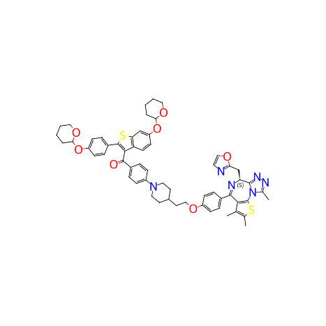 Cc1sc2c(c1C)C(c1ccc(OCCC3CCN(c4ccc(C(=O)c5c(-c6ccc(OC7CCCCO7)cc6)sc6cc(OC7CCCCO7)ccc56)cc4)CC3)cc1)=N[C@@H](Cc1ncco1)c1nnc(C)n1-2